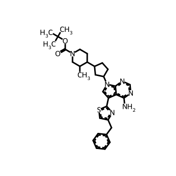 CC1CN(C(=O)OC(C)(C)C)CCC1C1CCC(n2cc(-c3nc(Cc4ccccc4)cs3)c3c(N)ncnc32)C1